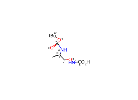 C[C@H](CONC(=O)O)NC(=O)OC(C)(C)C